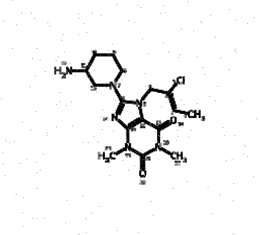 CC=C(Cl)Cn1c(N2CCCC(N)C2)nc2c1c(=O)n(C)c(=O)n2C